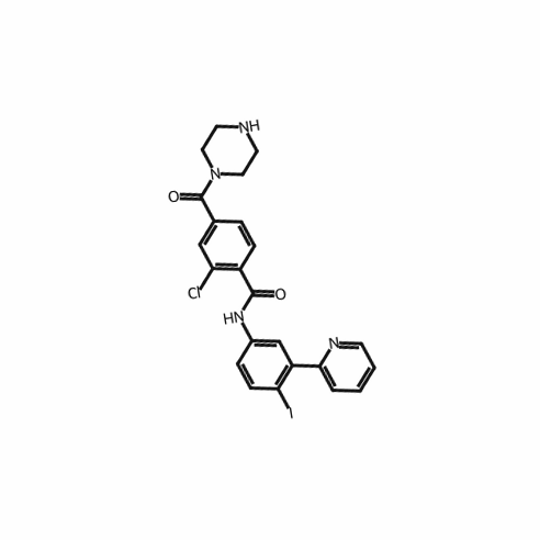 O=C(Nc1ccc(I)c(-c2ccccn2)c1)c1ccc(C(=O)N2CCNCC2)cc1Cl